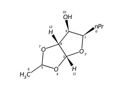 CCC[C@H]1O[C@@H]2OC(C)O[C@@H]2[C@H]1O